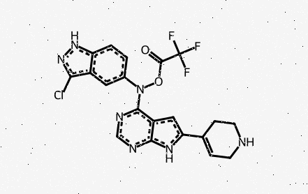 O=C(ON(c1ccc2[nH]nc(Cl)c2c1)c1ncnc2[nH]c(C3=CCNCC3)cc12)C(F)(F)F